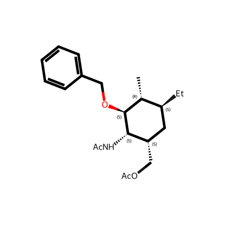 CC[C@H]1C[C@H](COC(C)=O)[C@H](NC(C)=O)[C@@H](OCc2ccccc2)[C@@H]1C